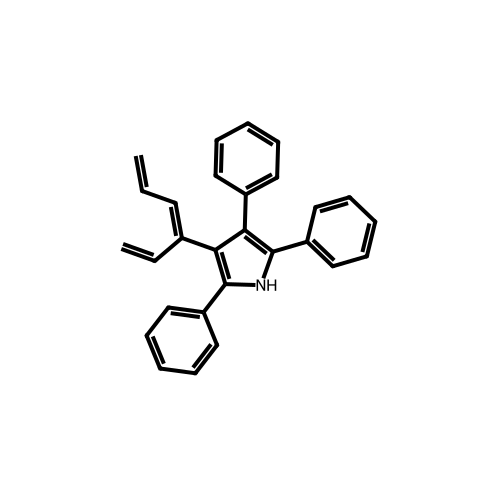 C=C/C=C(\C=C)c1c(-c2ccccc2)[nH]c(-c2ccccc2)c1-c1ccccc1